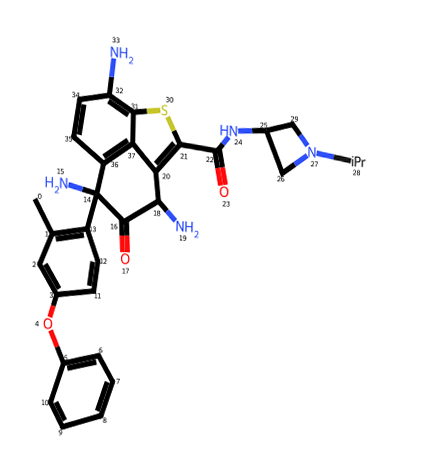 Cc1cc(Oc2ccccc2)ccc1C1(N)C(=O)C(N)c2c(C(=O)NC3CN(C(C)C)C3)sc3c(N)ccc1c23